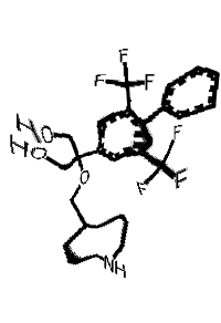 OCC(CO)(OCC1CCNCC1)c1cc(C(F)(F)F)c(-c2ccccc2)c(C(F)(F)F)c1